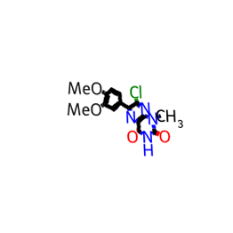 COc1ccc(-c2nc3c(=O)[nH]c(=O)n(C)c3nc2Cl)cc1OC